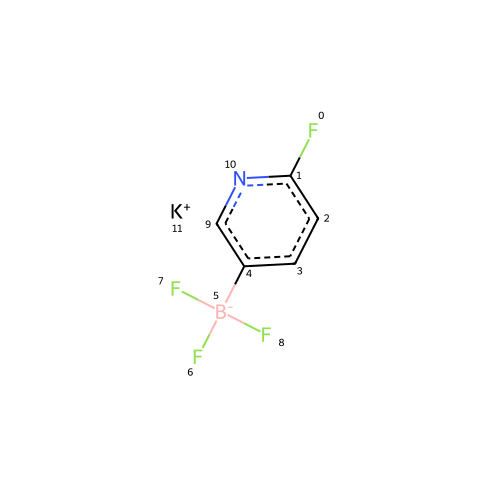 Fc1ccc([B-](F)(F)F)cn1.[K+]